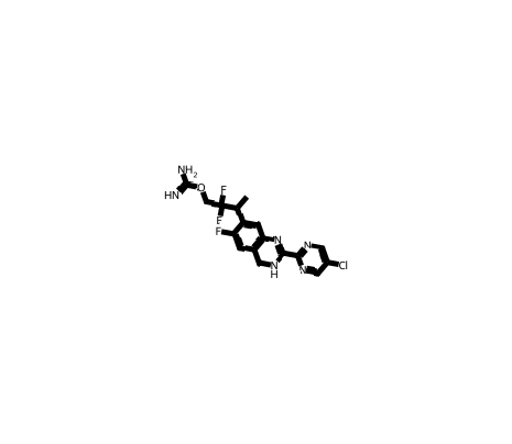 CC(c1cc2c(cc1F)CNC(c1ncc(Cl)cn1)=N2)C(F)(F)COC(=N)N